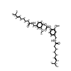 COc1cc(CNC(=O)CCCC/C=C/C(C)C)ccc1OC(=O)Oc1ccc(CNC(=O)CCCC/C=C/C(C)C)cc1OC